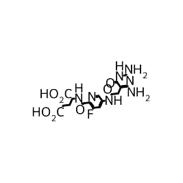 Nc1nc(N)c(CC(=O)Nc2cnc(C(=O)N[C@@H](CCC(=O)O)C(=O)O)c(F)c2)c(=O)[nH]1